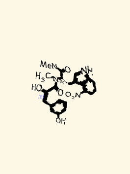 CNC(=O)[C@H](Cc1c[nH]c2cccc([N+](=O)[O-])c12)N(C)C(=O)/C(O)=C\c1cccc(O)c1